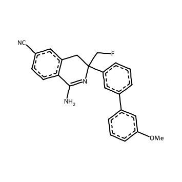 COc1cccc(-c2cccc(C3(CF)Cc4cc(C#N)ccc4C(N)=N3)c2)c1